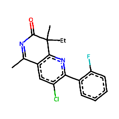 CCC1(C)C(=O)N=C(C)c2cc(Cl)c(-c3ccccc3F)nc21